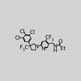 CCC(=O)NCc1cnc(N2CCC(c3cc(Cl)c(Cl)c(Cl)c3)(C(F)(F)F)C2)cc1C(F)(F)F